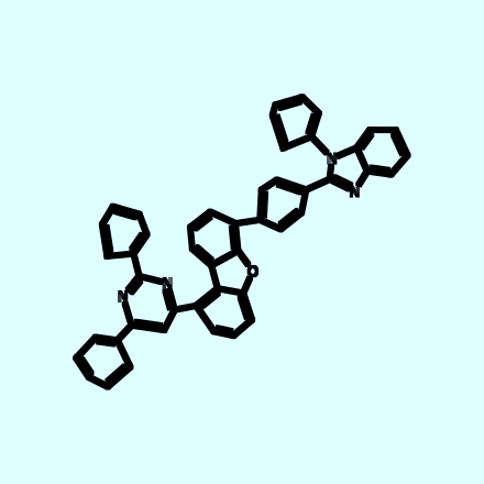 c1ccc(-c2cc(-c3cccc4oc5c(-c6ccc(-c7nc8ccccc8n7-c7ccccc7)cc6)cccc5c34)nc(-c3ccccc3)n2)cc1